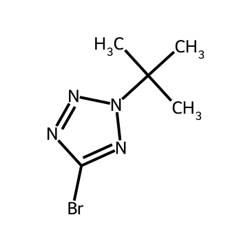 CC(C)(C)n1nnc(Br)n1